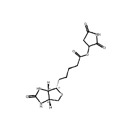 O=C1CC(OC(=O)CCCC[C@@H]2SC[C@@H]3NC(=O)N[C@@H]32)C(=O)N1